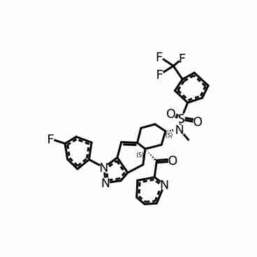 CN([C@H]1CCC2=Cc3c(cnn3-c3ccc(F)cc3)C[C@]2(C(=O)c2ccccn2)C1)S(=O)(=O)c1cccc(C(F)(F)F)c1